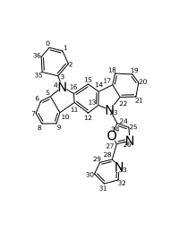 c1ccc(-n2c3ccccc3c3cc4c(cc32)c2ccccc2n4-c2cnc(-c3ccccn3)o2)cc1